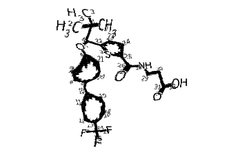 CC(C)(C)C(Oc1ccc(-c2ccc(C(F)(F)F)cc2)cc1)c1ccc(C(=O)NCCC(=O)O)s1